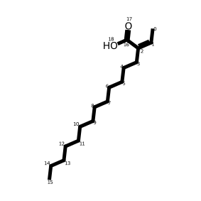 CC=C(CCCCCCCCCCCCC)C(=O)O